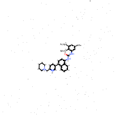 COc1c(NC(C)=O)cc(C(C)(C)C)cc1NC(=O)Nc1ccc(-c2ccc(CN3CCCCC3)nc2)c2ccccc12